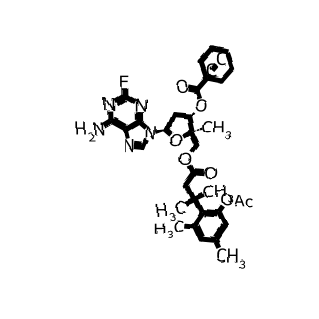 CC(=O)Oc1cc(C)cc(C)c1C(C)(C)CC(=O)OC[C@@]1(C)O[C@@H](n2cnc3c(N)nc(F)nc32)C[C@@H]1OC(=O)C12CCC(CC1)CC2